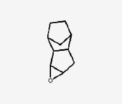 C1CC2CC1C1CC3OC3C21